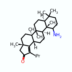 CC(C)C1=C2[C@H]3CC[C@@H]4[C@@]5(C)C(N)CCC(C)(C)[C@@H]5CC[C@@]4(C)[C@]3(C)CC[C@@]2(C)CC1=O